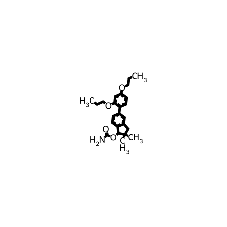 CCCOc1ccc(-c2ccc3c(c2)CC(C)(C)C3OC(N)=O)c(OCCC)c1